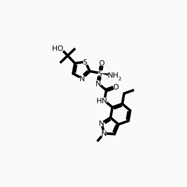 CCc1ccc2cn(C)nc2c1NC(=O)N=[S@@](N)(=O)c1ncc(C(C)(C)O)s1